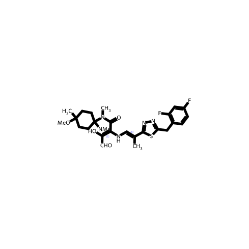 CNC1(N(C)C(=O)/C(N/C=C(\C)c2nnc(Cc3ccc(F)cc3F)s2)=C(\O)C=O)CCC(C)(OC)CC1